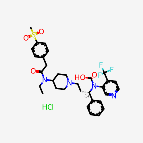 CCN(C(=O)Cc1ccc(S(C)(=O)=O)cc1)C1CCN(CC[C@@H](c2ccccc2)N(C(=O)O)c2cnccc2C(F)(F)F)CC1.Cl